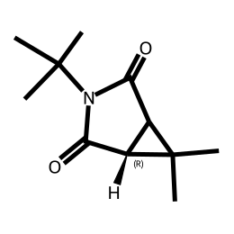 CC1(C)C2C(=O)N(C(C)(C)C)C(=O)[C@H]21